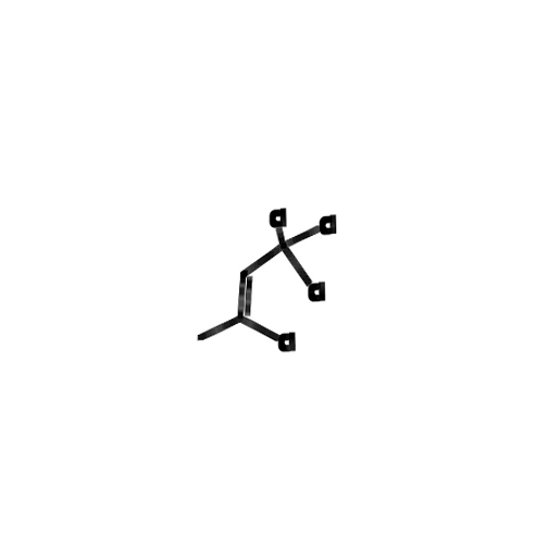 C/C(Cl)=C/C(Cl)(Cl)Cl